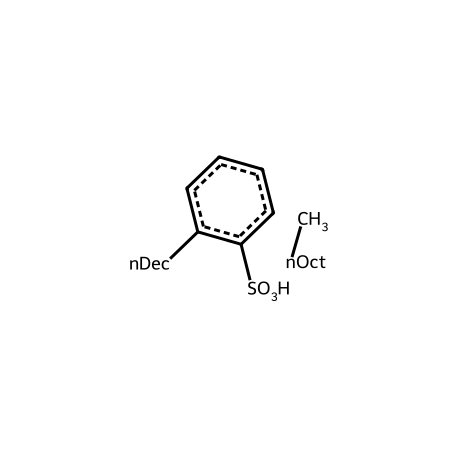 CCCCCCCCC.CCCCCCCCCCc1ccccc1S(=O)(=O)O